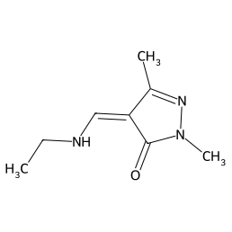 CCN/C=C1\C(=O)N(C)N=C1C